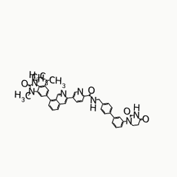 CC(C)c1cc(-c2cccc3cc(-c4ccc(C(=O)NCc5ccc(-c6cccc(N7CCC(=O)NC7=O)c6)cc5)nc4)ncc23)cc2c1n(C)c(=O)n2C